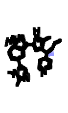 C=C/C=C(/c1ccncc1)c1cc(-c2n[nH]c3ccc(-c4cnc(C)n4C)cc23)[nH]c1C